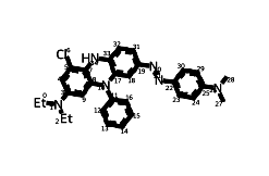 CCN(CC)c1cc(Cl)c2c(c1)N(c1ccccc1)c1cc(N=Nc3ccc(N(C)C)cc3)ccc1N2